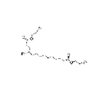 CC(C)CCOC(=O)CCCCCCCCCC(CCC(=O)OCCC(C)C)C(C)C